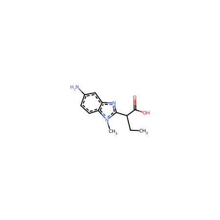 CCC(C(=O)O)c1nc2cc(N)ccc2n1C